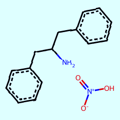 NC(Cc1ccccc1)Cc1ccccc1.O=[N+]([O-])O